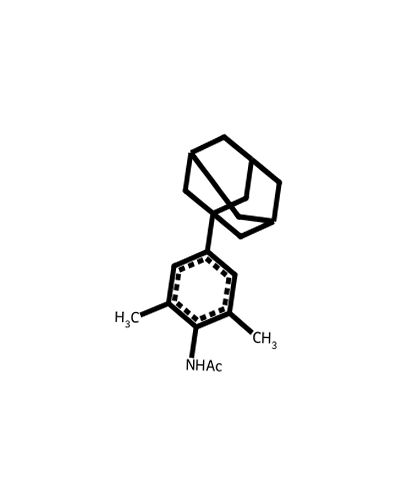 CC(=O)Nc1c(C)cc(C23CC4CC(CC(C4)C2)C3)cc1C